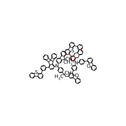 CC(C)(Cc1cc(-c2ccc(N(c3ccc(-c4cccc5c4oc4ccccc45)cc3)c3ccc(-c4cccc5c4sc4c(-c6ccccc6)cccc45)c4c3C3c5ccccc5C4c4ccccc43)cc2)c2oc3ccccc3c2c1)c1ccc(N(c2ccc3c(c2)C(C)(C)c2ccccc2-3)c2ccc(-c3cccc(-c4cccc5c4sc4ccccc45)c3)c3c2C2c4ccccc4C24c2ccccc2C34)cc1